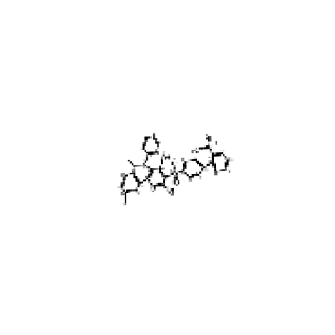 CCN(c1ccccc1)c1c(-c2cccc(C)c2)nc(O)c(S(=O)(=O)c2ccc(-c3ccccc3C(N)=O)cc2)c1O